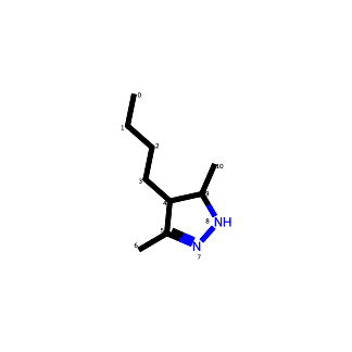 CCCCC1C(C)=NNC1C